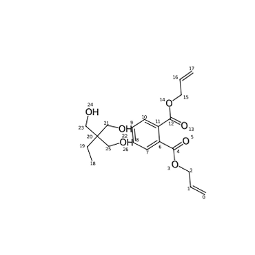 C=CCOC(=O)c1ccccc1C(=O)OCC=C.CCC(CO)(CO)CO